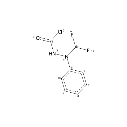 O=C(Cl)NN(c1ccccc1)C(F)F